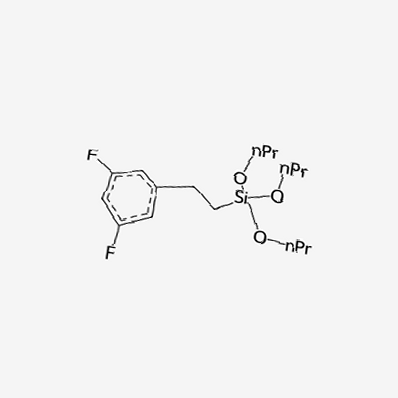 CCCO[Si](CCc1cc(F)cc(F)c1)(OCCC)OCCC